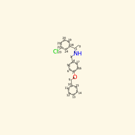 CC(NCc1ccc(OCc2ccccc2)cc1)c1cccc(Cl)c1